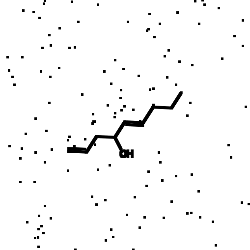 C=CCC(O)/C=C/CCC